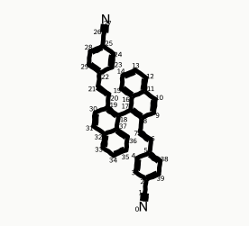 N#Cc1ccc(/C=C/c2ccc3ccccc3c2-c2c(/C=C/c3ccc(C#N)cc3)ccc3ccccc23)cc1